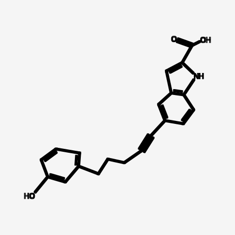 O=C(O)c1cc2cc(C#CCCCc3cccc(O)c3)ccc2[nH]1